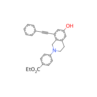 CCOC(=O)c1ccc(N2CCc3cc(O)cc(C#Cc4ccccc4)c3C2)cc1